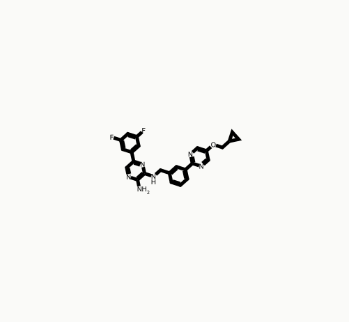 Nc1ncc(-c2cc(F)cc(F)c2)nc1NCc1cccc(-c2ncc(OCC3CC3)cn2)c1